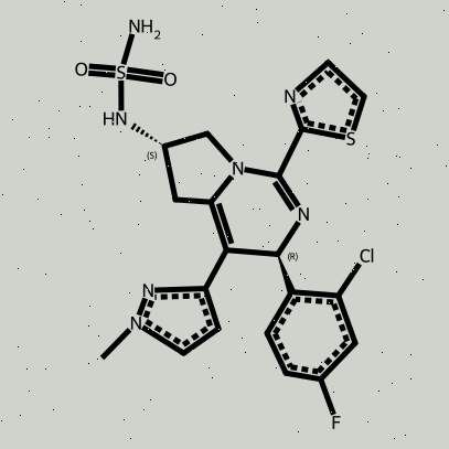 Cn1ccc(C2=C3C[C@H](NS(N)(=O)=O)CN3C(c3nccs3)=N[C@H]2c2ccc(F)cc2Cl)n1